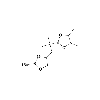 CC1OB(C(C)(C)CC2COB(C(C)(C)C)O2)OC1C